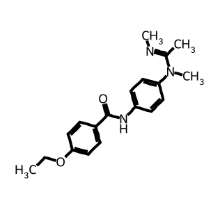 CCOc1ccc(C(=O)Nc2ccc(N(C)C(C)=NC)cc2)cc1